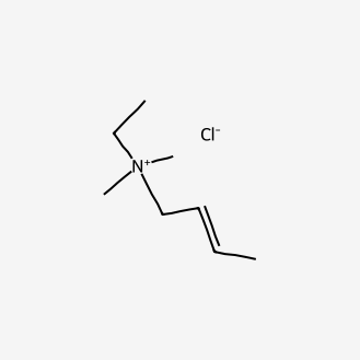 CC=CC[N+](C)(C)CC.[Cl-]